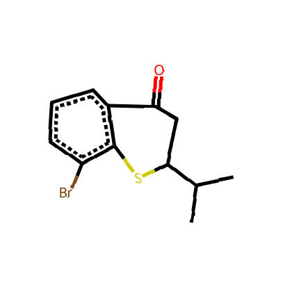 CC(C)C1CC(=O)c2cccc(Br)c2S1